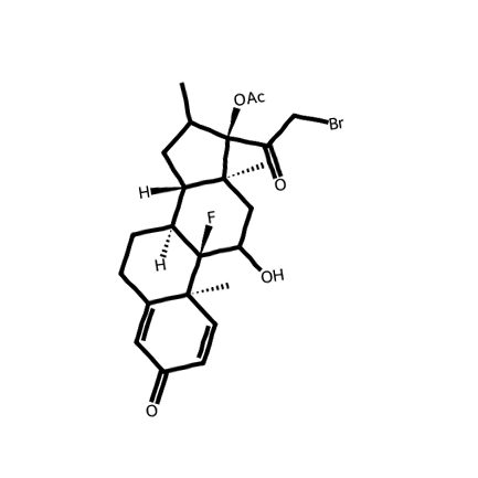 CC(=O)O[C@]1(C(=O)CBr)C(C)C[C@H]2[C@@H]3CCC4=CC(=O)C=C[C@]4(C)[C@@]3(F)C(O)C[C@@]21C